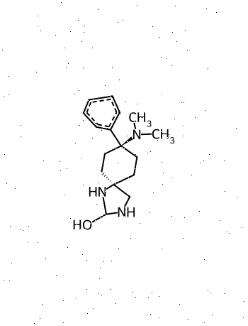 CN(C)[C@]1(c2ccccc2)CC[C@]2(CC1)CNC(O)N2